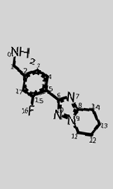 NCc1ccc(-c2nc3n(n2)CCCC3)c(F)c1